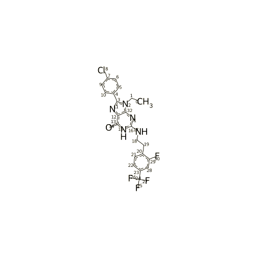 CCn1c(-c2ccc(Cl)cc2)nc2c(=O)[nH]c(NCCc3ccc(C(F)(F)F)cc3F)nc21